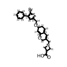 O=C(O)C1CN(CC2=CC3=CCC(OCc4cc(-c5ccccc5)c(Br)s4)C=C3OC2)C1